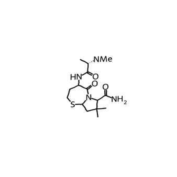 CN[C@@H](C)C(=O)NC1CCSC2CC(C)(C)C(C(N)=O)N2C1=O